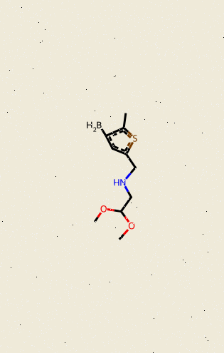 Bc1cc(CNCC(OC)OC)sc1C